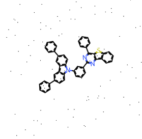 c1ccc(-c2ccc3c(c2)c2cc(-c4ccccc4)ccc2n3-c2cccc(-c3nc(-c4ccccc4)c4sc5ccccc5c4n3)c2)cc1